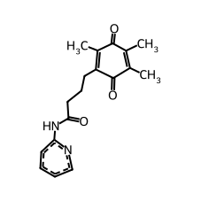 CC1=C(C)C(=O)C(CCCC(=O)Nc2ccccn2)=C(C)C1=O